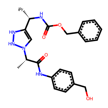 CC(C)[C@H](NC(=O)OCc1ccccc1)C1=CN([C@@H](C)C(=O)Nc2ccc(CO)cc2)NN1